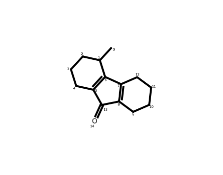 CC1CCCC2=C1C1=C(CCCC1)C2=O